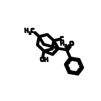 CC12CC3(O)CC(C)(C1)C(C(=O)c1ccccc1)(C2)C3